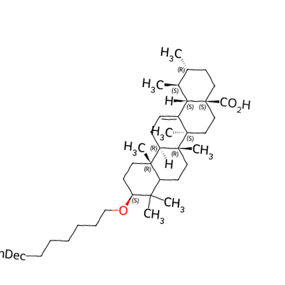 CCCCCCCCCCCCCCCCO[C@H]1CC[C@@]2(C)C(CC[C@]3(C)[C@@H]2CC=C2[C@@H]4[C@@H](C)[C@H](C)CC[C@]4(C(=O)O)CC[C@]23C)C1(C)C